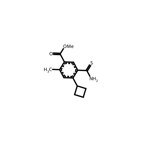 COC(=O)c1cc(C(N)=S)c(C2CCC2)cc1C